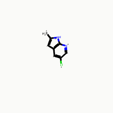 Bc1cc2cc(Cl)cnc2[nH]1